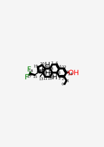 CCC1=C[C@H]2C(=CC[C@@H]3[C@@H]2CC[C@]2(C)[C@@H](CC(F)F)CC[C@@H]32)C=C1O